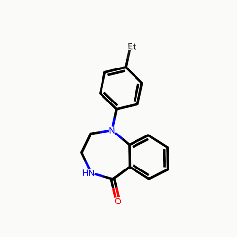 CCc1ccc(N2CCNC(=O)c3ccccc32)cc1